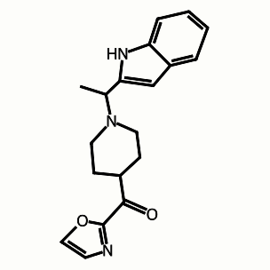 CC(c1cc2ccccc2[nH]1)N1CCC(C(=O)c2ncco2)CC1